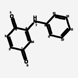 O=C1C=CC(=O)C(Nc2ccccc2)=C1